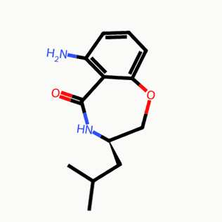 CC(C)C[C@@H]1COc2cccc(N)c2C(=O)N1